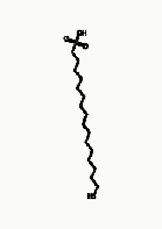 O=S(=O)(O)CCCCCCCCCCCCCCCCS